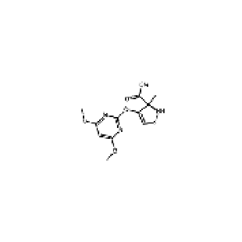 COc1cc(OC)nc(OC2=CSNC2(C)C(=O)O)n1